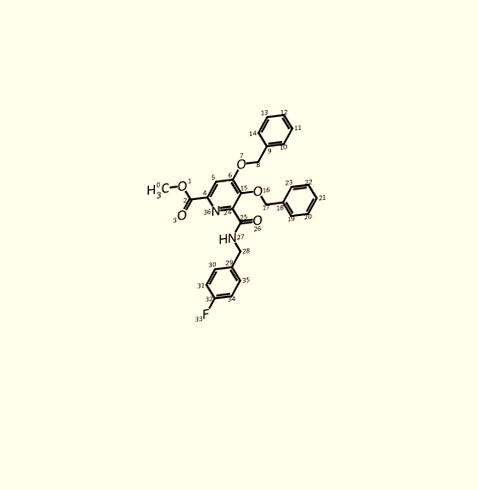 COC(=O)c1cc(OCc2ccccc2)c(OCc2ccccc2)c(C(=O)NCc2ccc(F)cc2)n1